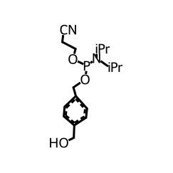 CC(C)N(C(C)C)P(OCCC#N)OCc1ccc(CO)cc1